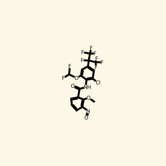 COc1c(N=O)cccc1C(=O)Nc1c(Cl)cc(C(F)(C(F)(F)F)C(F)(F)F)cc1OC(F)F